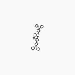 c1ccc(N(c2ccccc2)c2ccc(-c3ccc4c(c3)C3(CC3)c3cccc5c(-c6ccc(N(c7ccccc7)c7ccccc7)cc6)ccc-4c35)cc2)cc1